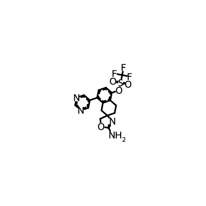 NC1=NC2(CCc3c(OS(=O)(=O)C(F)(F)F)ccc(-c4cncnc4)c3C2)CO1